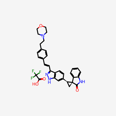 O=C(O)C(F)(F)F.O=C1Nc2ccccc2[C@]12C[C@H]2c1ccc2c(C=Cc3ccc(CCN4CCOCC4)cc3)n[nH]c2c1